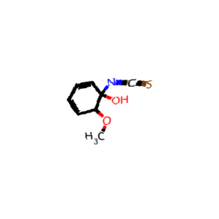 COC1C=CC=CC1(O)N=C=S